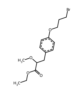 CCOC(=O)C(Cc1ccc(OCCCBr)cc1)OC